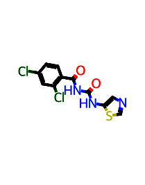 O=C(NC(=O)c1ccc(Cl)cc1Cl)Nc1cncs1